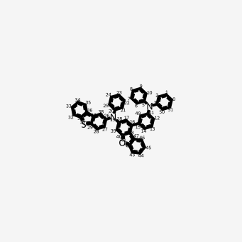 c1ccc(N(c2ccccc2)c2cccc(-c3cc(N(c4ccccc4)c4ccc5sc6ccccc6c5c4)cc4oc5ccccc5c34)c2)cc1